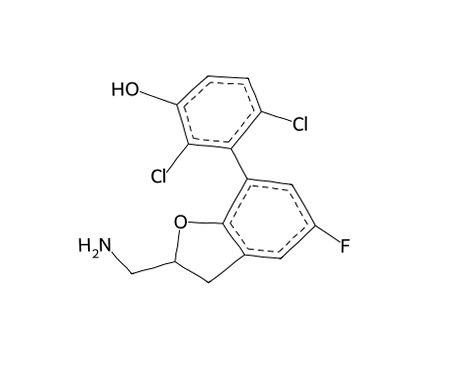 NCC1Cc2cc(F)cc(-c3c(Cl)ccc(O)c3Cl)c2O1